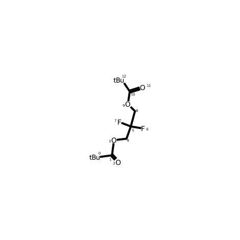 CC(C)(C)C(=O)OCC(F)(F)COC(=O)C(C)(C)C